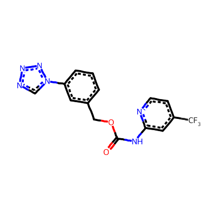 O=C(Nc1cc(C(F)(F)F)ccn1)OCc1cccc(-n2cnnn2)c1